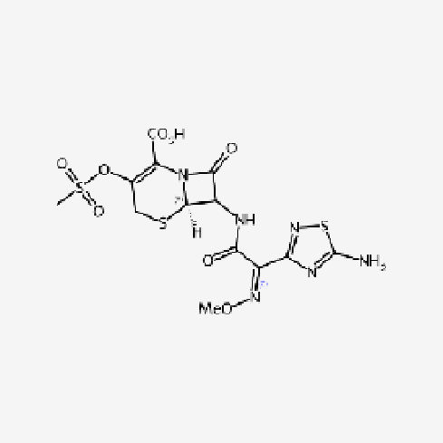 CO/N=C(\C(=O)NC1C(=O)N2C(C(=O)O)=C(OS(C)(=O)=O)CS[C@H]12)c1nsc(N)n1